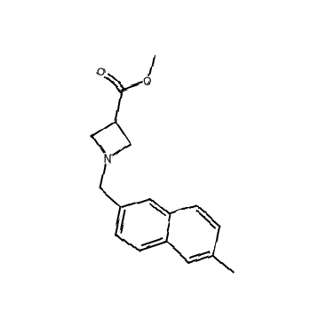 COC(=O)C1CN(Cc2ccc3cc(C)ccc3c2)C1